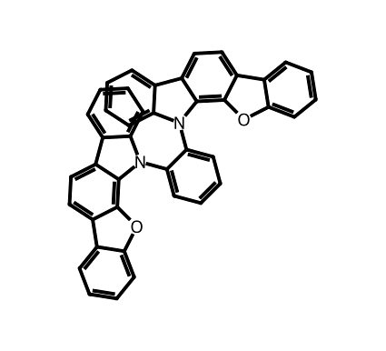 c1ccc(-n2c3ccccc3c3ccc4c5ccccc5oc4c32)c(-n2c3ccccc3c3ccc4c5ccccc5oc4c32)c1